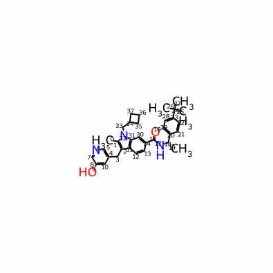 Cc1c(Cc2cncc(O)c2)c2ccc(C(=O)N[C@@H](C)c3ccc(C(C)(C)C)cc3)cc2n1CC1CCC1